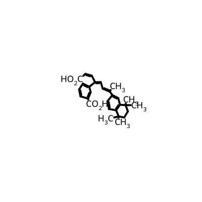 C\C(=C/C=C(/C=C\C(=O)O)c1cccc(C(=O)O)c1)c1ccc2c(c1)C(C)(C)CCC2(C)C